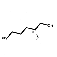 CCCCCC[C@@H](F)CO